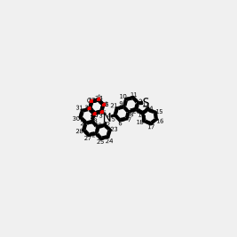 c1ccc(N(c2ccc3c(ccc4sc5ccccc5c43)c2)c2cccc3ccc4ccc5ccccc5c4c23)cc1